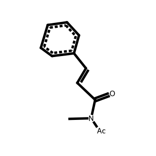 CC(=O)N(C)C(=O)C=Cc1ccccc1